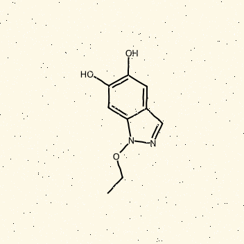 CCOn1ncc2cc(O)c(O)cc21